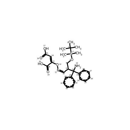 CC(C)(C)[Si](C)(C)OCC(/C=N\OC(=CC(=O)O)C(=O)O)C(N)(c1ccccc1)c1ccccc1